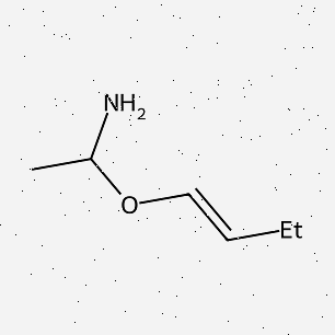 CCC=COC(C)N